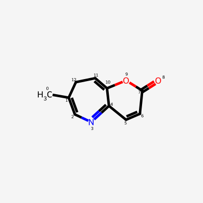 CC1=CN=c2ccc(=O)oc2=CC1